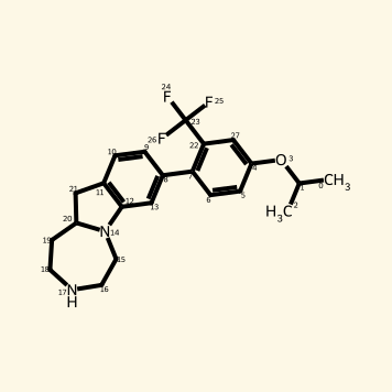 CC(C)Oc1ccc(-c2ccc3c(c2)N2CCNCCC2C3)c(C(F)(F)F)c1